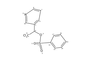 O=S(=O)(OC(c1cccnc1)C(Cl)(Cl)Cl)c1ccccc1